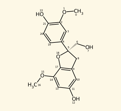 COc1cc([C@@]2(CO)Cc3cc(O)cc(OC)c3O2)ccc1O